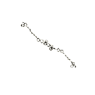 C=CC(=O)OCCCCCCCCCCCCOC1CCC(C(=O)Oc2ccc(OC(=O)C#Cc3ccc(OCCCCCCCCCCCOC(=O)C=C)cc3)cc2)CC1